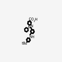 CC(C)(C)c1ccc(NCc2cccc(-c3nc4cc(C(=O)O)ccc4n3C3CCCCC3)c2)cc1